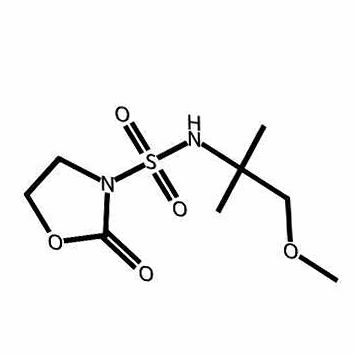 COCC(C)(C)NS(=O)(=O)N1CCOC1=O